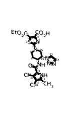 CCOC(=O)c1sc(N2CC[C@@H](NC(=O)c3[nH]c(C)c(Cl)c3Cl)[C@@H](n3ccnn3)C2)nc1C(=O)O